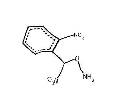 NOC(c1ccccc1[N+](=O)[O-])[N+](=O)[O-]